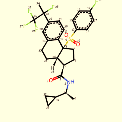 C[C@H](NC(=O)[C@@H]1CC[C@@]2(S(=O)(=O)c3ccc(F)cc3)c3ccc(C(C)(F)C(F)(F)F)cc3CC[C@@H]12)C1CC1